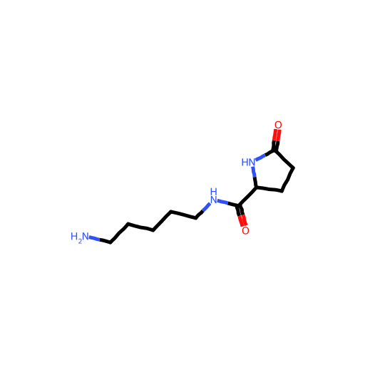 NCCCCCNC(=O)C1CCC(=O)N1